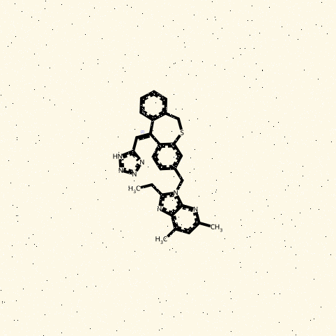 CCc1nc2c(C)cc(C)nc2n1Cc1ccc2c(c1)SCc1ccccc1/C2=C/c1nnn[nH]1